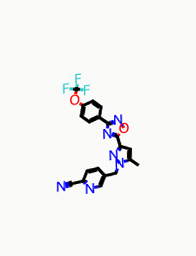 Cc1cc(-c2nc(-c3ccc(OC(F)(F)F)cc3)no2)nn1Cc1ccc(C#N)nc1